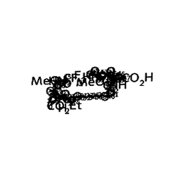 CCOC(=O)c1ccn2c(C(=O)c3ccc(NC(=O)C(F)(F)F)c(OC)c3)nc(NC(=O)c3cccc(OCCCCCCCCOc4cccc(C(=O)Nc5nc(C(=O)c6ccc(NC(=O)C(F)(F)F)c(OC)c6)n6ccc(C(=O)O)cc56)c4)c3)c2c1